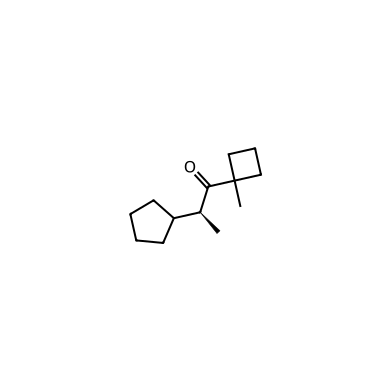 C[C@H](C(=O)C1(C)CCC1)C1CCCC1